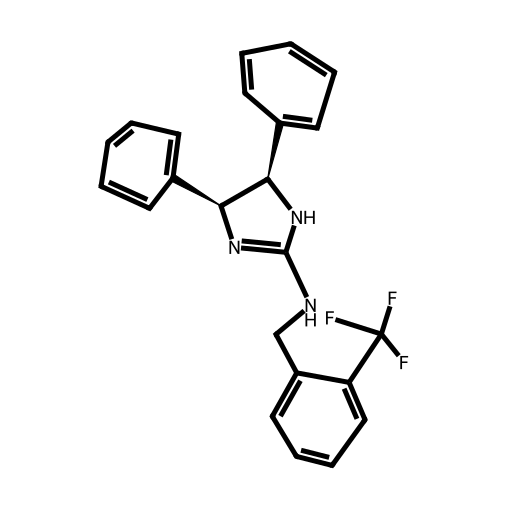 FC(F)(F)c1ccccc1CNC1=N[C@@H](c2ccccc2)[C@@H](c2ccccc2)N1